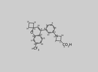 O=C(O)C1CN(c2cccc(C3=CC4(CCC4)Oc4cc(C(F)(F)F)ccc43)c2)C1